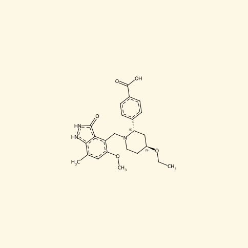 CCO[C@H]1CCN(Cc2c(OC)cc(C)c3[nH][nH]c(=O)c23)[C@H](c2ccc(C(=O)O)cc2)C1